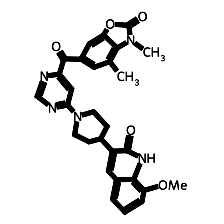 COc1cccc2cc(C3CCN(c4cc(C(=O)c5cc(C)c6c(c5)oc(=O)n6C)ncn4)CC3)c(=O)[nH]c12